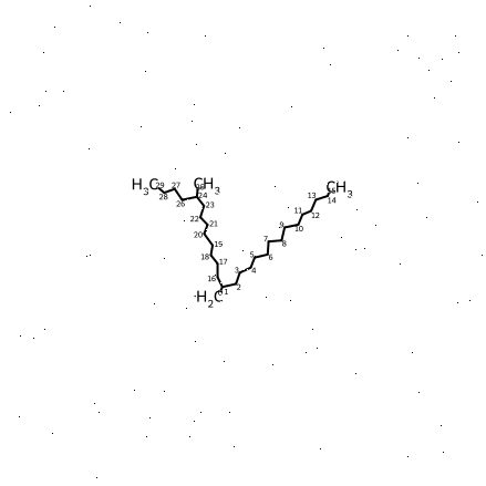 [CH2]C(CCCCCCCCCCCCCC)CCCCCCCCC(C)CCCC